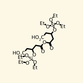 CCO[Si](OCC)(OCC)OC(CC(=O)O)CC(=O)OC(=O)CC(CC(=O)O)O[Si](OCC)(OCC)OCC